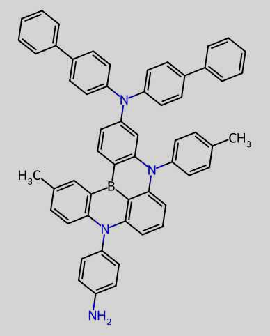 Cc1ccc(N2c3cc(N(c4ccc(-c5ccccc5)cc4)c4ccc(-c5ccccc5)cc4)ccc3B3c4cc(C)ccc4N(c4ccc(N)cc4)c4cccc2c43)cc1